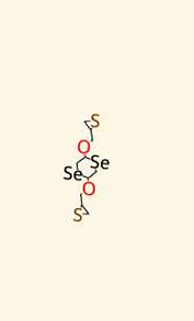 C(OC1C[Se]C(OCC2CS2)C[Se]1)C1CS1